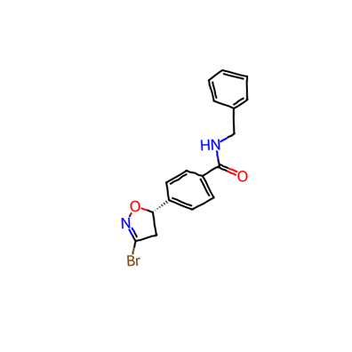 O=C(NCc1ccccc1)c1ccc([C@@H]2CC(Br)=NO2)cc1